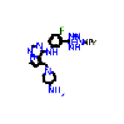 CC(C)N/N=N\C(=N)c1cc(Nc2ncnn3ccc(CN4CCC(N)CC4)c23)ccc1F